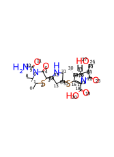 CCSC(C(=O)N(CC)C(N)=O)[C@@H]1C[C@H](SC2=C(C(=O)O)N3C(=O)[C@H]([C@@H](C)O)[C@H]3[C@H]2C)CN1